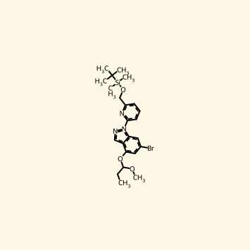 CCC(OC)Oc1cc(Br)cc2c1cnn2-c1cccc(CO[Si](C)(C)C(C)(C)C)n1